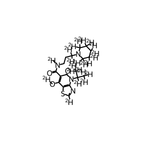 [2H]Oc1c(C(=O)N([2H])CCC([2H])([2H])N2C([2H])([2H])C([2H])([2H])C([2H])([2H])C([2H])([2H])C2([2H])[2H])c(=O)n(C([2H])(C([2H])([2H])[2H])C([2H])([2H])[2H])c2nc([2H])sc12